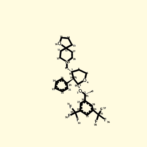 C[C@@H](O[C@H]1OCC[C@@H](CN2CCC3(CCCO3)CC2)[C@@H]1c1ccccc1)c1cc(C(F)(F)F)cc(C(F)(F)F)c1